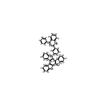 c1ccc(-c2nc(-c3cccc(-n4c5ccccc5c5c6c7ccccc7sc6c6oc7ccccc7c6c54)c3)nc3ccccc23)cc1